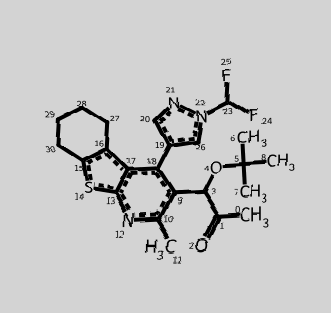 CC(=O)C(OC(C)(C)C)c1c(C)nc2sc3c(c2c1-c1cnn(C(F)F)c1)CCCC3